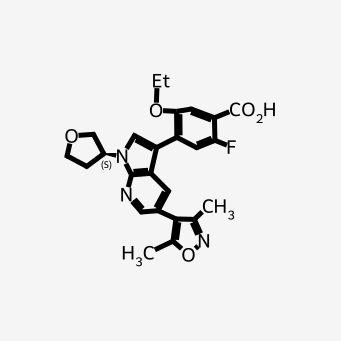 CCOc1cc(C(=O)O)c(F)cc1-c1cn([C@H]2CCOC2)c2ncc(-c3c(C)noc3C)cc12